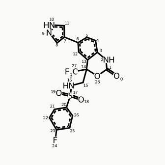 O=C1Nc2ccc(-c3cn[nH]c3)cc2C(CNS(=O)(=O)c2ccc(F)cc2)(C(F)(F)F)O1